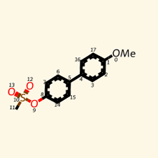 COc1ccc(-c2ccc(OS(C)(=O)=O)cc2)cc1